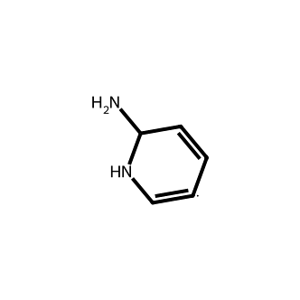 NC1C=C[C]=CN1